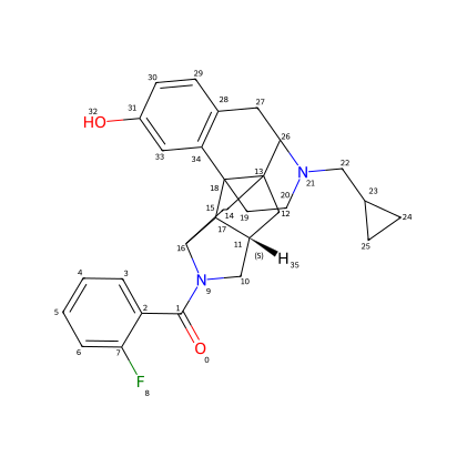 O=C(c1ccccc1F)N1C[C@H]2CC34CCC1C2C31CCN(CC2CC2)C4Cc2ccc(O)cc21